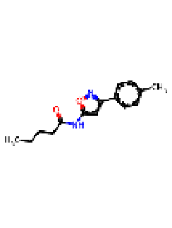 CCCCC(=O)Nc1cc(-c2ccc(C)cc2)no1